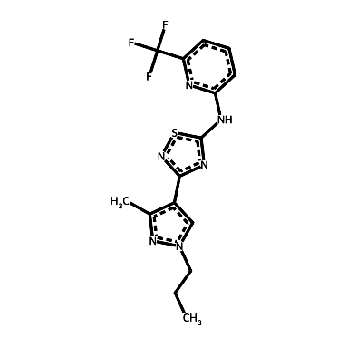 CCCn1cc(-c2nsc(Nc3cccc(C(F)(F)F)n3)n2)c(C)n1